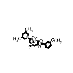 COc1cccc(-c2nc(CS(=O)(=O)CC(=O)N3CC(C)CC(C)C3)c(C)o2)c1